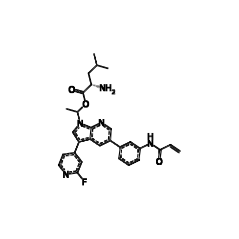 C=CC(=O)Nc1cccc(-c2cnc3c(c2)c(-c2ccnc(F)c2)cn3C(C)OC(=O)[C@@H](N)CC(C)C)c1